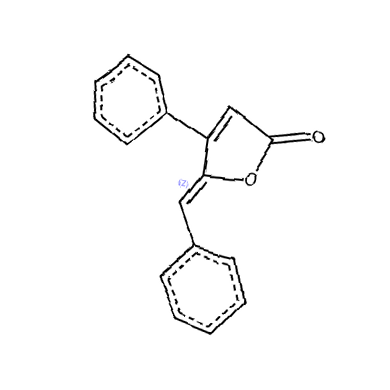 O=C1C=C(c2ccccc2)/C(=C/c2ccccc2)O1